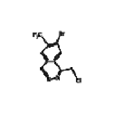 FC(F)(F)c1cc2cnnc(CCl)c2cc1Br